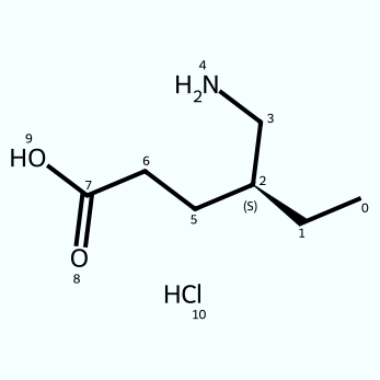 CC[C@H](CN)CCC(=O)O.Cl